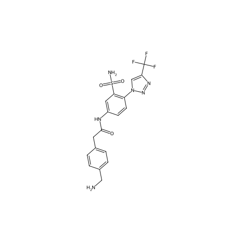 NCc1ccc(CC(=O)Nc2ccc(-n3cc(C(F)(F)F)nn3)c(S(N)(=O)=O)c2)cc1